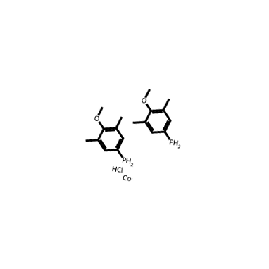 COc1c(C)cc(P)cc1C.COc1c(C)cc(P)cc1C.Cl.[Co]